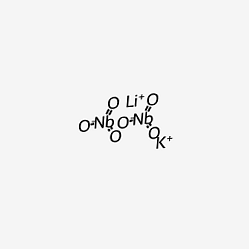 [K+].[Li+].[O]=[Nb](=[O])[O-].[O]=[Nb](=[O])[O-]